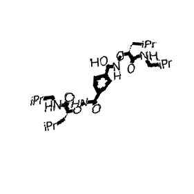 CC(C)CNC(=O)[C@@H](CC(C)C)ONC(=O)c1ccc(C(O)NO[C@H](CC(C)C)C(=O)NCC(C)C)cc1